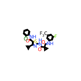 O=C(Nc1ccccc1Cl)c1sc(NC(=O)C2(C(=O)Nc3cc(F)cc(C(F)(F)F)c3)CC2)nc1C1CC1